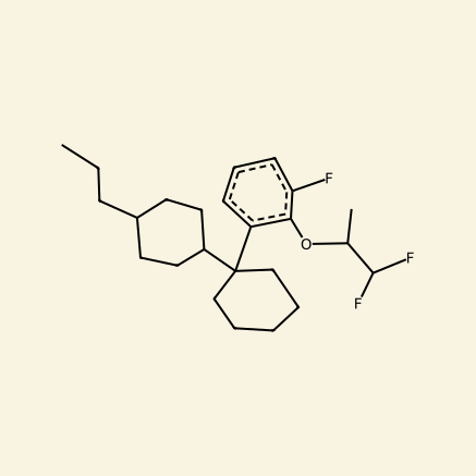 CCCC1CCC(C2(c3cccc(F)c3OC(C)C(F)F)CCCCC2)CC1